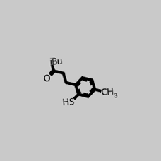 CCC(C)C(=O)CCc1ccc(C)cc1S